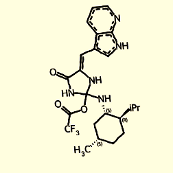 CC(C)[C@H]1CC[C@H](C)C[C@@H]1NC1(OC(=O)C(F)(F)F)NC(=O)C(=Cc2c[nH]c3ncccc23)N1